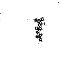 CC1C=C(c2cccc3c2c2ccccc2n3-c2cccc(-c3cccc4c3c3ccccc3n4-c3ccccc3)c2)C=CC1c1cc(-c2ccccc2)nc(-c2ccccc2)n1